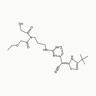 CCOCC(=O)N(CCCNc1nccc(C(C#N)=C2NC(C(C)(C)C)=CS2)n1)C(=O)CO